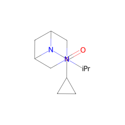 CC(C)N1CC2CC(C1)N2C(=O)C1CC1